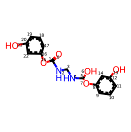 O=C(NCNC(O)Oc1cccc(O)c1)Oc1cccc(O)c1